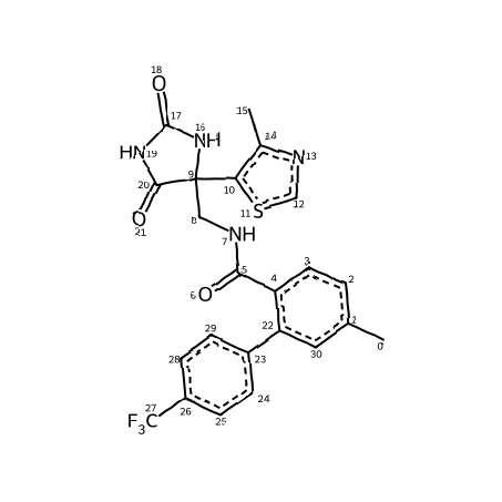 Cc1ccc(C(=O)NCC2(c3scnc3C)NC(=O)NC2=O)c(-c2ccc(C(F)(F)F)cc2)c1